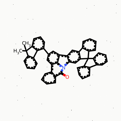 CC1(C)c2ccccc2-c2c(-c3cc4c5ccccc5c(=O)n5c6cc7c(cc6c(c3)c45)-c3ccccc3C73c4ccccc4-c4ccccc43)cccc21